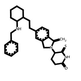 C=C1c2ccc(CCC3CCCCC3NCc3ccccc3)cc2CN1C1CCC(=O)NC1=S